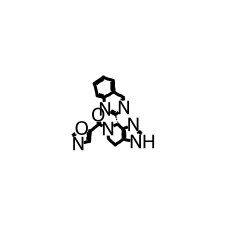 O=C(c1cnco1)N1CCc2[nH]cnc2[C@H]1c1ncc2ccccc2n1